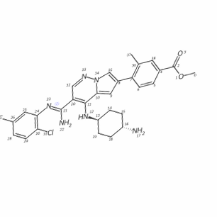 COC(=O)c1ccc(-c2cc3c(N[C@H]4CC[C@H](N)CC4)c(/C(N)=N/c4cc(F)ccc4Cl)cnn3c2)c(C)c1